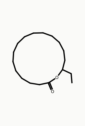 CCC1CCCCCCCCCCCCCCC(=O)O1